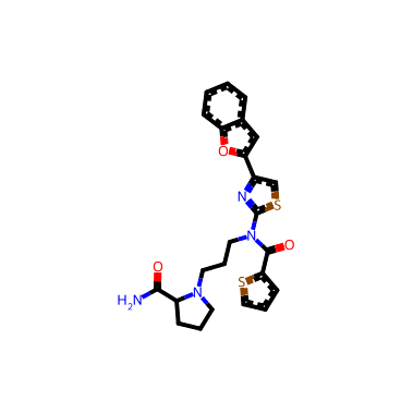 NC(=O)C1CCCN1CCCN(C(=O)c1cccs1)c1nc(-c2cc3ccccc3o2)cs1